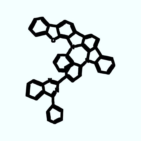 c1ccc(-c2nc(-c3ccc(-n4c5ccccc5c5ccc6c7ccc8c9ccccc9oc8c7n(-c7ccccc7)c6c54)cc3)nc3ccccc23)cc1